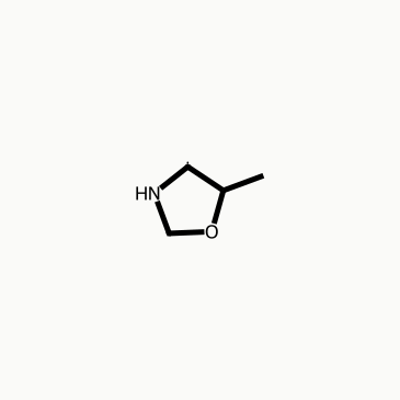 CC1[CH]NCO1